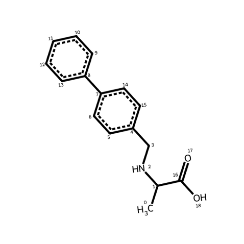 CC(NCc1ccc(-c2ccccc2)cc1)C(=O)O